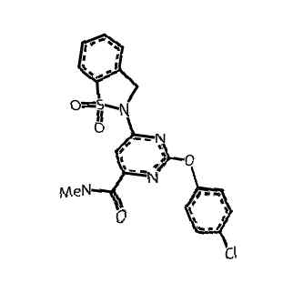 CNC(=O)c1cc(N2Cc3ccccc3S2(=O)=O)nc(Oc2ccc(Cl)cc2)n1